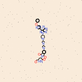 CNC(=O)C(CCC=O)N1C(=O)c2ccc(N3CC(N4CC(N5CCC(n6nc(-c7ccc(Oc8ccccc8)nc7)c7c(N)ncnc76)CC5)C4)C3)cc2C1=O